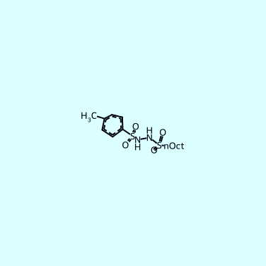 CCCCCCCCS(=O)(=O)NNS(=O)(=O)c1ccc(C)cc1